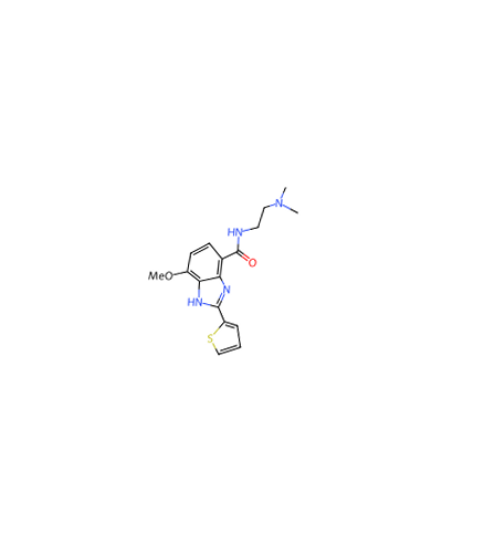 COc1ccc(C(=O)NCCN(C)C)c2nc(-c3cccs3)[nH]c12